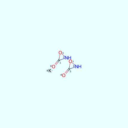 O=C1NO1.O=C1NO1.[K]